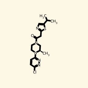 CC(C)c1cnc(CC(=O)N2CCN(c3ccc(Cl)nn3)[C@H](C)C2)s1